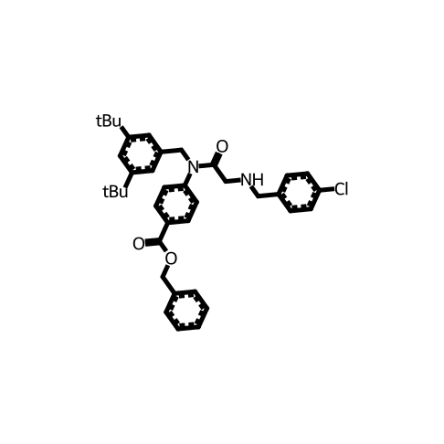 CC(C)(C)c1cc(CN(C(=O)CNCc2ccc(Cl)cc2)c2ccc(C(=O)OCc3ccccc3)cc2)cc(C(C)(C)C)c1